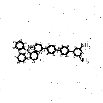 Nc1cc(N)cc(-c2ccc(-c3ccc(-c4ccc(N=P(c5ccccc5)(c5ccccc5)c5ccccc5)cc4)cc3)cc2)c1